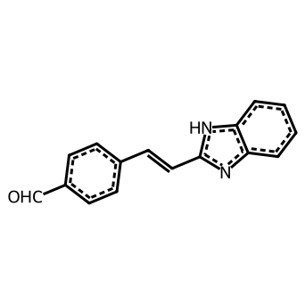 O=Cc1ccc(C=Cc2nc3ccccc3[nH]2)cc1